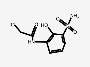 NS(=O)(=O)c1cccc(NC(=O)CCl)c1O